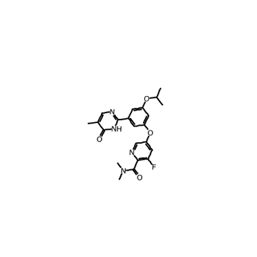 Cc1cnc(-c2cc(Oc3cnc(C(=O)N(C)C)c(F)c3)cc(OC(C)C)c2)[nH]c1=O